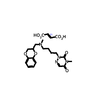 CN(CCCCn1ncc(=O)n(C)c1=O)CC1COc2ccccc2O1.O=C(O)/C=C/C(=O)O